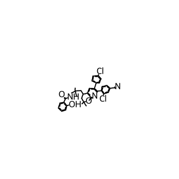 CC(C)(CNC(=O)c1ccccc1O)CC1CC(C)(C)Oc2nc(-c3ccc(C#N)cc3Cl)c(-c3ccc(Cl)cc3)cc21